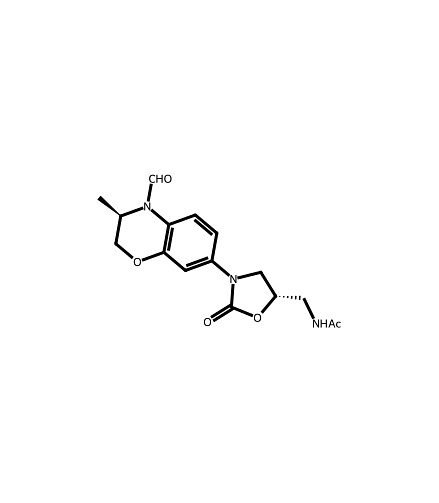 CC(=O)NC[C@H]1CN(c2ccc3c(c2)OC[C@@H](C)N3C=O)C(=O)O1